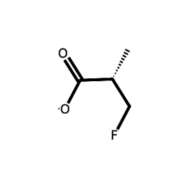 C[C@H](CF)C([O])=O